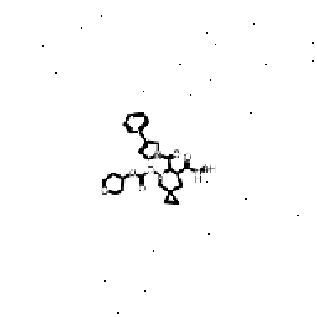 O=C(OC1CCOCC1)ON1CC2(CC2)CC(C(=O)NO)C1C(=O)N1CC=C(c2ccccc2)C1